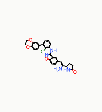 NC(=Cc1ccc2onc(Nc3cccc(-c4ccc5c(c4)OCCO5)c3Cl)c2c1)C1CCC(=O)N1